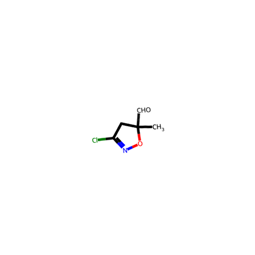 CC1(C=O)CC(Cl)=NO1